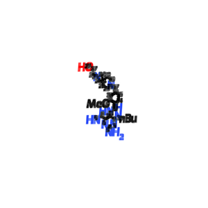 CCCCNc1nc(N)nc(C=N)c1NCc1ccc(CN2CCC3(CC2)CN(CCO)C3)cc1OC